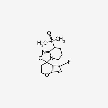 CP(C)(=O)C1CCCN2C1=NOC21CCOc2ccc(F)cc21